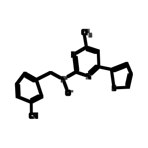 N#Cc1cccc(C[S+]([O-])c2nc(-c3cccs3)cc(C(F)(F)F)n2)c1